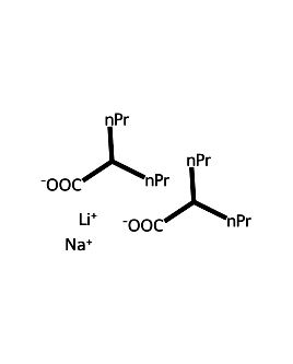 CCCC(CCC)C(=O)[O-].CCCC(CCC)C(=O)[O-].[Li+].[Na+]